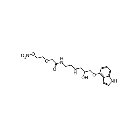 O=C(COCCO[N+](=O)[O-])NCCNCC(O)COc1cccc2[nH]ccc12